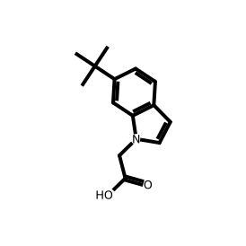 CC(C)(C)c1ccc2ccn(CC(=O)O)c2c1